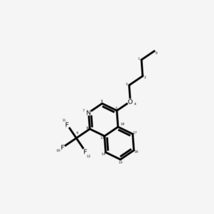 CCCCOc1cnc(C(F)(F)F)c2ccccc12